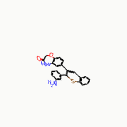 Nc1cccc(C2Sc3ccccc3C=C2c2ccc3c(c2)NC(=O)CO3)c1